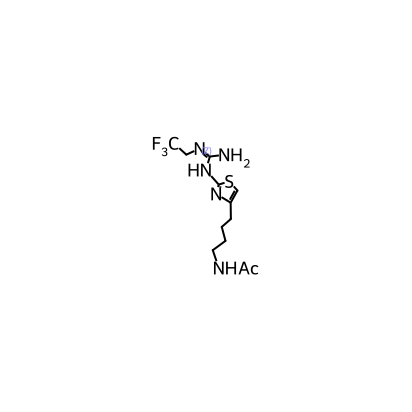 CC(=O)NCCCCc1csc(N/C(N)=N\CC(F)(F)F)n1